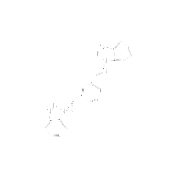 C(=N\n1nnc2ccccc21)/c1cccc(/C=N/n2nnc3ccccc32)c1